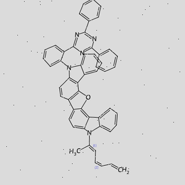 C=C/C=C\C=C(/C)n1c2ccccc2c2c3oc4c(ccc5c4c4ccccc4n5-c4ccccc4-c4nc(-c5ccccc5)nc(-c5ccccc5)n4)c3ccc21